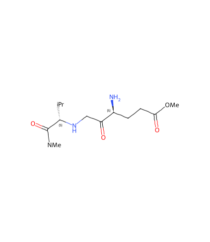 CNC(=O)[C@@H](NCC(=O)[C@@H](N)CCC(=O)OC)C(C)C